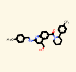 COc1ccc(CNc2cc(CO)c3cc(C(=O)N4CCCCC4c4ccc(C(F)(F)F)cc4)ccc3n2)cc1